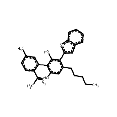 C=C(C)c1ccc(C)cc1-c1c(O)cc(CCCCC)c(-c2cc3ccccc3s2)c1O